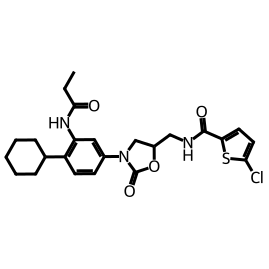 CCC(=O)Nc1cc(N2CC(CNC(=O)c3ccc(Cl)s3)OC2=O)ccc1C1CCCCC1